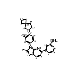 Cc1nc2ccc(-c3ccnc(N)c3)nc2n1-c1ccc(N2CCC3(COC3)C2)c(F)c1